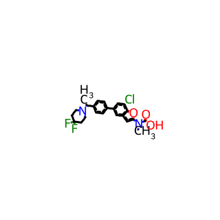 CC(c1ccc(-c2cc(Cl)c3oc(N(C)C(=O)O)cc3c2)cc1)N1CCC(F)(F)CC1